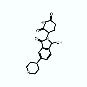 O=C1CCC(N2C(=O)c3cc(C4CCNCC4)ccc3C2O)C(=O)N1